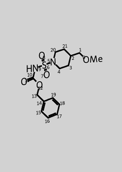 COCC1CCN(S(=O)(=O)NC(=O)OCc2ccccc2)CC1